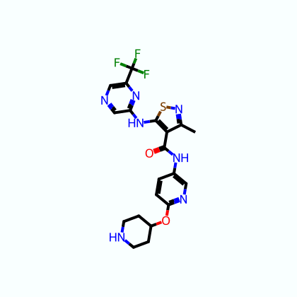 Cc1nsc(Nc2cncc(C(F)(F)F)n2)c1C(=O)Nc1ccc(OC2CCNCC2)nc1